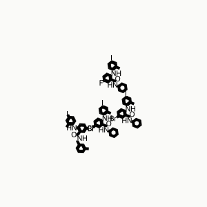 Cc1cc(I)ccc1Nc1ccc(Br)cc1C(=O)NC1CCCCC1.Cc1cc(I)ccc1Nc1ccc(Cl)cc1C(=O)NC1CCCCC1.Cc1cc(I)ccc1Nc1ccc(F)cc1C(=O)NC1CCCCC1.Cc1cccc(CNC(=O)c2cc(Br)ccc2Nc2ccc(I)cc2C)c1